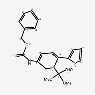 COC(C=O)(OC)N1CC(NC(=O)OCc2ccccc2)=CC=C1c1cccs1